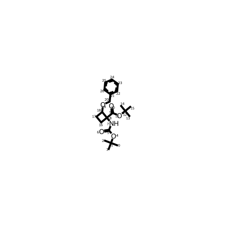 CC(C)(C)OC(=O)NC1(C(=O)OC(C)(C)C)CCC1OCc1ccccc1